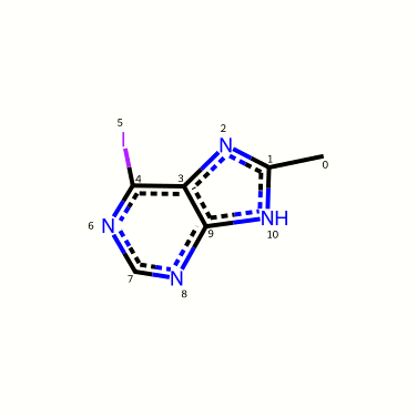 Cc1nc2c(I)ncnc2[nH]1